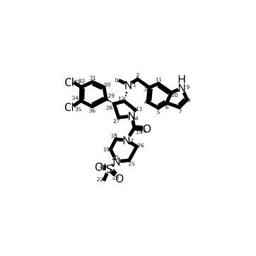 CN(Cc1ccc2cc[nH]c2c1)[C@@H]1CN(C(=O)N2CCN(S(C)(=O)=O)CC2)C[C@@H]1c1ccc(Cl)c(Cl)c1